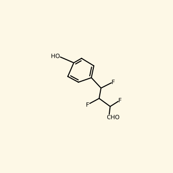 O=CC(F)C(F)C(F)c1ccc(O)cc1